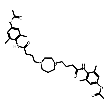 CC(=O)Oc1cc(C)c(NC(=O)CCCN2CCCN(CCCC(=O)Nc3c(C)cc(OC(C)=O)cc3C)CC2)c(C)c1